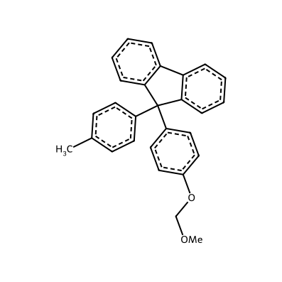 COCOc1ccc(C2(c3ccc(C)cc3)c3ccccc3-c3ccccc32)cc1